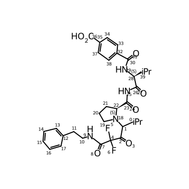 CC(C)C(C(=O)C(F)(F)C(=O)NCCc1ccccc1)N1CCC[C@H]1C(=O)NC(=O)[C@@H](NC(=O)c1ccc(C(=O)O)cc1)C(C)C